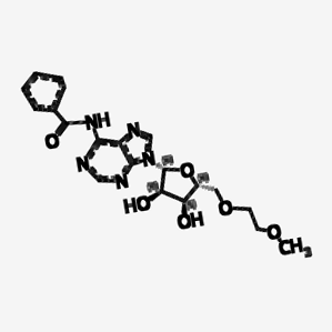 COCCOC[C@H]1O[C@@H](n2cnc3c(NC(=O)c4ccccc4)ncnc32)[C@H](O)[C@@H]1O